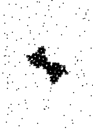 CC(C)c1ccc(N(c2ccccc2)c2ccc3c4cc5c(cc4n4c6ccc(F)cc6c2c34)c2ccc(N(c3ccccc3)c3ccc(C(C)C)cc3)c3c4cc(F)ccc4n5c23)cc1